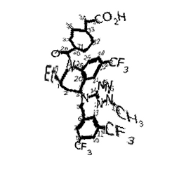 CC[C@@H]1CC(N(Cc2cc(C(F)(F)F)cc(C(F)(F)F)c2)c2nnn(C)n2)c2cc(C(F)(F)F)ccc2N1C(=O)C1CCC(CC(=O)O)CC1